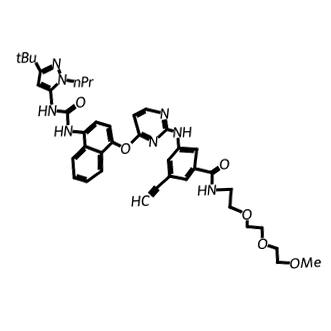 C#Cc1cc(Nc2nccc(Oc3ccc(NC(=O)Nc4cc(C(C)(C)C)nn4CCC)c4ccccc34)n2)cc(C(=O)NCCOCCOCCOC)c1